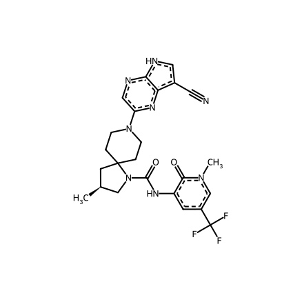 C[C@@H]1CN(C(=O)Nc2cc(C(F)(F)F)cn(C)c2=O)C2(CCN(c3cnc4[nH]cc(C#N)c4n3)CC2)C1